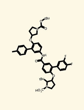 Cc1ccc(-c2cc(NC(=O)c3ccc(OC4CCN(C(=O)O)C4C(C)(C)C)c(-c4ccc(F)c(F)c4)c3)ccc2OC2CCN(C(=O)OC(C)(C)C)C2)cc1